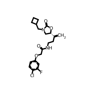 C=C(CCNC(=O)COc1ccc(Cl)c(F)c1)[C@@H]1CN(CC2CCC2)C(=O)O1